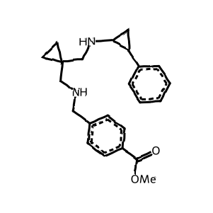 COC(=O)c1ccc(CNCC2(CNC3CC3c3ccccc3)CC2)cc1